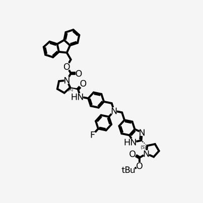 CC(C)(C)OC(=O)N1CCC[C@H]1c1nc2cc(CN(Cc3ccc(NC(=O)[C@H]4CCCN4C(=O)OCC4c5ccccc5-c5ccccc54)cc3)c3ccc(F)cc3)ccc2[nH]1